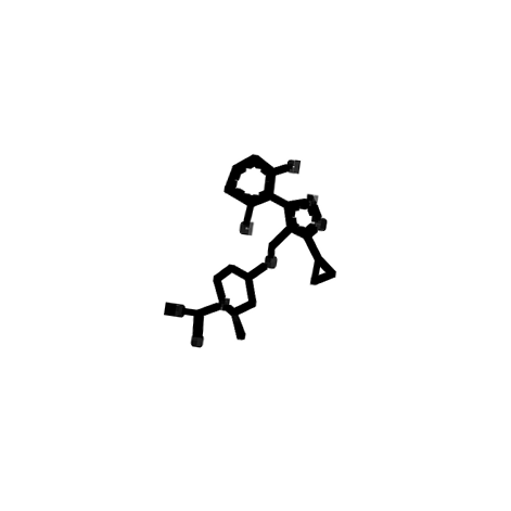 C[C@@H]1CC(OCc2c(-c3c(Cl)cccc3Cl)noc2C2CC2)CCN1C(=O)O